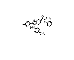 Cc1ccc(Nc2c(-c3ccc(F)cc3)nc3n2CCN(C(=O)C(C)Oc2ccccc2)C3)cc1